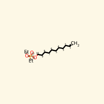 C=CCCCCCCCCCOP(=O)(CC)OCC